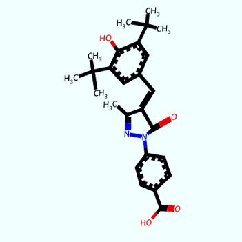 CC1=NN(c2ccc(C(=O)O)cc2)C(=O)/C1=C/c1cc(C(C)(C)C)c(O)c(C(C)(C)C)c1